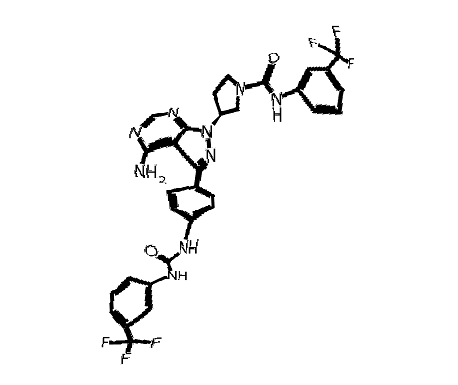 Nc1ncnc2c1c(-c1ccc(NC(=O)Nc3cccc(C(F)(F)F)c3)cc1)nn2[C@H]1CCN(C(=O)Nc2cccc(C(F)(F)F)c2)C1